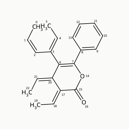 C/C=C\C(=C/C)c1c(-c2ccccc2)oc(=O)c(=C/C)/c1=C\C